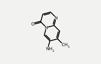 Cc1cc2nccc(=O)n2cc1N